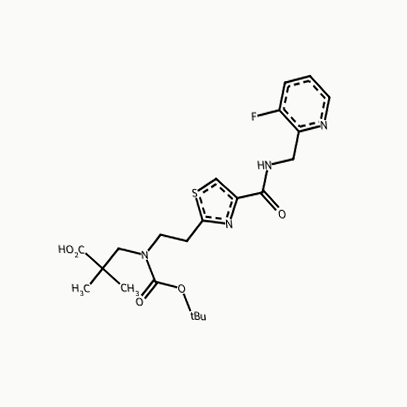 CC(C)(C)OC(=O)N(CCc1nc(C(=O)NCc2ncccc2F)cs1)CC(C)(C)C(=O)O